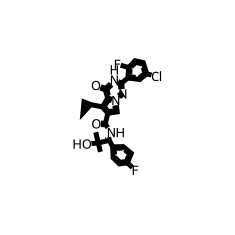 CC(C)(O)[C@@H](NC(=O)c1cn2nc(-c3cc(Cl)ccc3F)[nH]c(=O)c2c1C1CC1)c1ccc(F)cc1